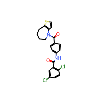 O=C(Nc1ccc(C(=O)N2CCCCc3sccc32)cc1)c1cc(Cl)ccc1Cl